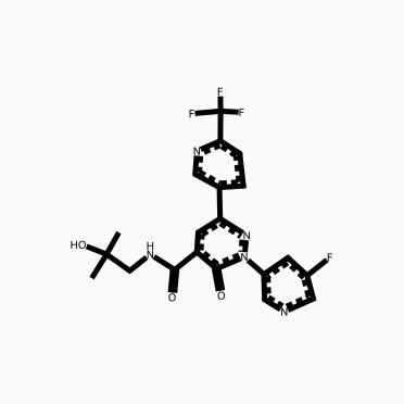 CC(C)(O)CNC(=O)c1cc(-c2ccc(C(F)(F)F)nc2)nn(-c2cncc(F)c2)c1=O